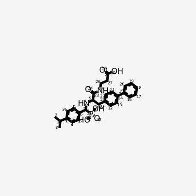 CC(C)c1ccc(C(NC(Cc2ccc(-c3ccccc3)cc2)C(=O)NCCC(=O)O)P(=O)(O)O)cc1